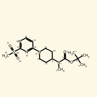 CN(C(=O)OC(C)(C)C)C1CCN(c2ccnc(S(C)(=O)=O)n2)CC1